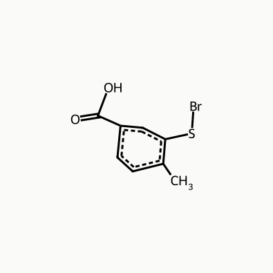 Cc1ccc(C(=O)O)cc1SBr